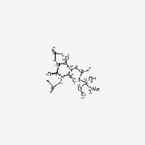 C=C(C)Cn1c(=O)n(CC(=C)C)c(=O)n(CC(C)C[Si](O)(OC)OCC)c1=O